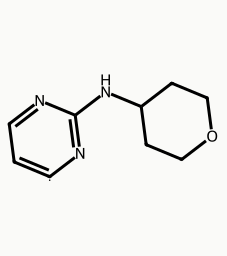 [c]1ccnc(NC2CCOCC2)n1